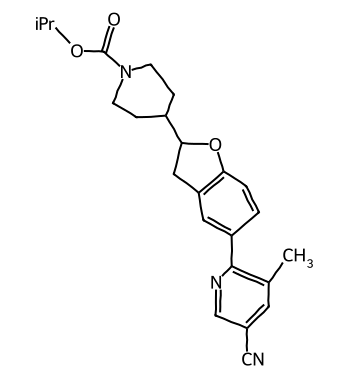 Cc1cc(C#N)cnc1-c1ccc2c(c1)CC(C1CCN(C(=O)OC(C)C)CC1)O2